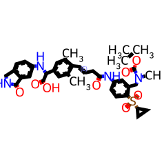 Cc1cc(C(Nc2ccc3c(c2)C(=O)NC3)C(=O)O)cc(C)c1/C=C/CC(=O)Nc1ccc(S(=O)(=O)C2CC2)c(CN(C)C(=O)OC(C)(C)C)c1